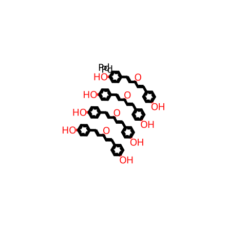 O=C(C=Cc1ccc(O)cc1)C=Cc1ccc(O)cc1.O=C(C=Cc1ccc(O)cc1)C=Cc1ccc(O)cc1.O=C(C=Cc1ccc(O)cc1)C=Cc1ccc(O)cc1.O=C(C=Cc1ccc(O)cc1)C=Cc1ccc(O)cc1.[Pd].[Pd]